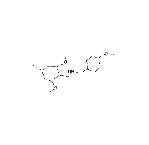 COC1CCC(CNCC2C(OC)CC(C)CC2OC)CC1